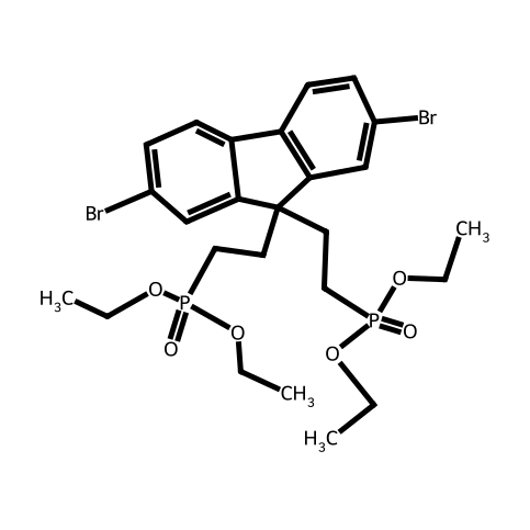 CCOP(=O)(CCC1(CCP(=O)(OCC)OCC)c2cc(Br)ccc2-c2ccc(Br)cc21)OCC